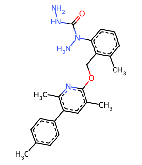 Cc1ccc(-c2cc(C)c(OCc3c(C)cccc3N(N)C(=O)NN)nc2C)cc1